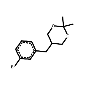 CC1(C)OCC(Cc2cccc(Br)c2)CO1